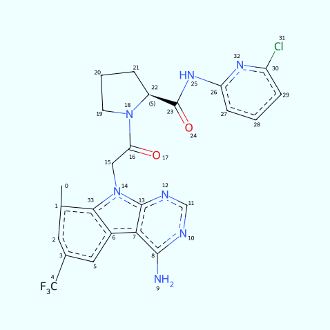 Cc1cc(C(F)(F)F)cc2c3c(N)ncnc3n(CC(=O)N3CCC[C@H]3C(=O)Nc3cccc(Cl)n3)c12